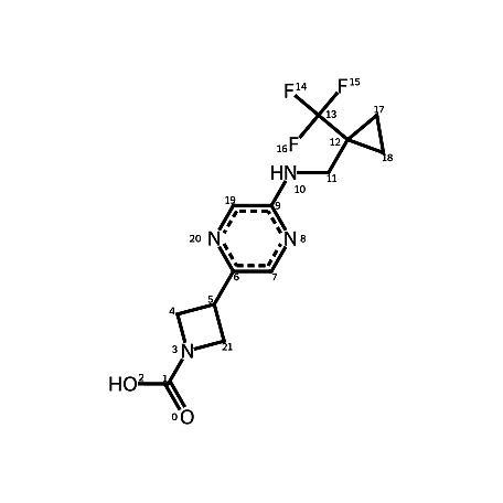 O=C(O)N1CC(c2cnc(NCC3(C(F)(F)F)CC3)cn2)C1